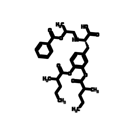 CCCC(C)C(=O)Oc1ccc(C[C@H](NCC(C)OC(=O)c2ccccc2)C(=O)O)cc1OC(=O)C(C)CCC